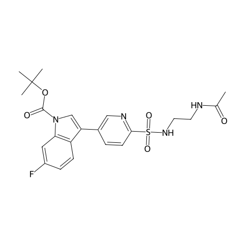 CC(=O)NCCNS(=O)(=O)c1ccc(-c2cn(C(=O)OC(C)(C)C)c3cc(F)ccc23)cn1